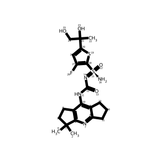 CC1(C)CCc2c1nc1c(c2NC(=O)N=[S@@](N)(=O)c2sc(C(C)(O)CO)cc2F)CCC1